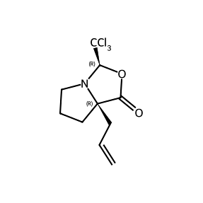 C=CC[C@@]12CCCN1[C@@H](C(Cl)(Cl)Cl)OC2=O